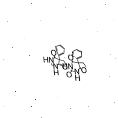 CCC1(c2ccccc2)C(=O)NC(=O)NC1=O.CCC1(c2ccccc2)C(=O)NCNC1=O